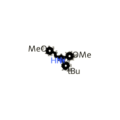 COc1ccc(C=CC2=CC(c3ccc(OC)cc3)N(c3ccc(C(C)(C)C)cc3)N2)cc1